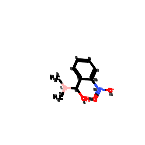 CB(C)C(O)c1ccccc1[N+](=O)[O-]